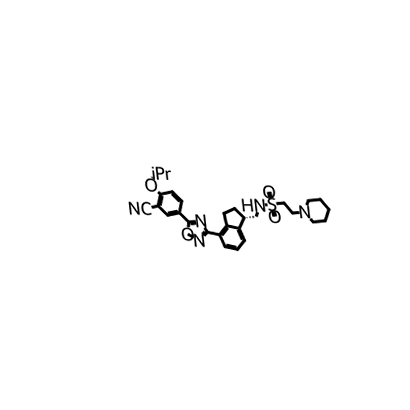 CC(C)Oc1ccc(-c2nc(-c3cccc4c3CC[C@@H]4CNS(=O)(=O)CCN3CCCCC3)no2)cc1C#N